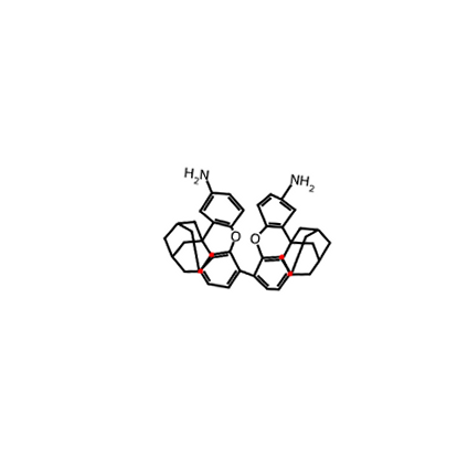 Nc1ccc(Oc2ccccc2-c2ccccc2Oc2ccc(N)cc2C23CC4CC(CC(C4)C2)C3)c(C23CC4CC(CC(C4)C2)C3)c1